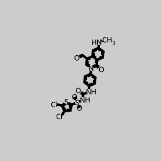 CNc1ccc2c(=O)n(-c3ccc(NC(=O)NS(=O)(=O)c4cc(Cl)c(Cl)s4)cc3)cc(C=O)c2c1